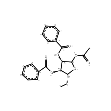 CC[C@H]1OC(OC(C)=O)[C@H](OC(=O)c2ccccc2)[C@@H]1OC(=O)c1ccccc1